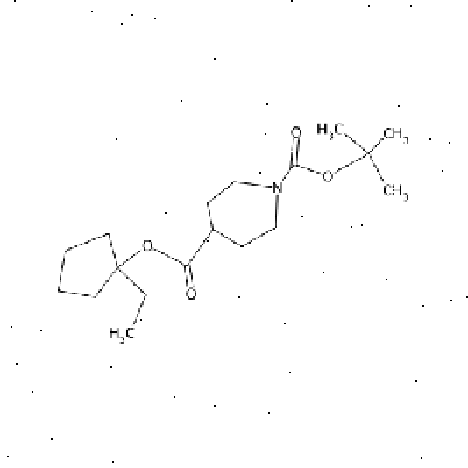 CCC1(OC(=O)C2CCN(C(=O)OC(C)(C)C)CC2)CCCC1